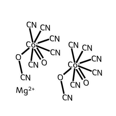 N#C[O][Co-](=[O])([C]#N)([C]#N)([C]#N)([C]#N)[C]#N.N#C[O][Co-](=[O])([C]#N)([C]#N)([C]#N)([C]#N)[C]#N.[Mg+2]